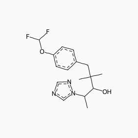 CC(C(O)C(C)(C)Cc1ccc(OC(F)F)cc1)n1cncn1